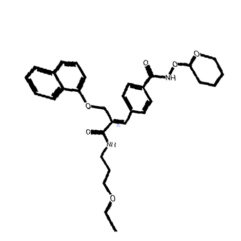 CCOCCCNC(=O)/C(=C/c1ccc(C(=O)NOC2CCCCO2)cc1)COc1cccc2ccccc12